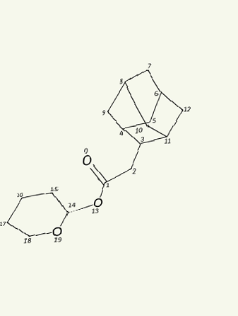 O=C(CC1C2CC3CC(C2)CC1C3)OC1CCCCO1